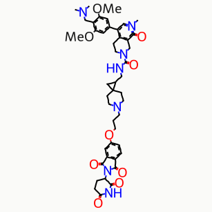 COc1cc(-c2cn(C)c(=O)c3c2CCN(C(=O)NCC2CC24CCN(CCCOc2ccc5c(c2)C(=O)N(C2CCC(=O)NC2=O)C5=O)CC4)C3)cc(OC)c1CN(C)C